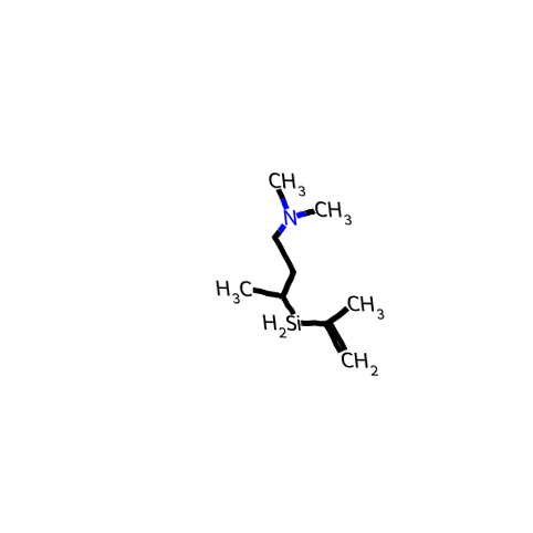 C=C(C)[SiH2]C(C)CCN(C)C